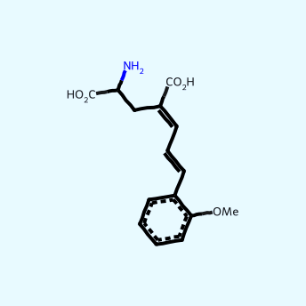 COc1ccccc1C=CC=C(CC(N)C(=O)O)C(=O)O